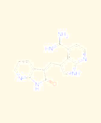 N=C(N)c1ccnc2[nH]cc(C=C3C(=O)Nc4ncccc43)c12